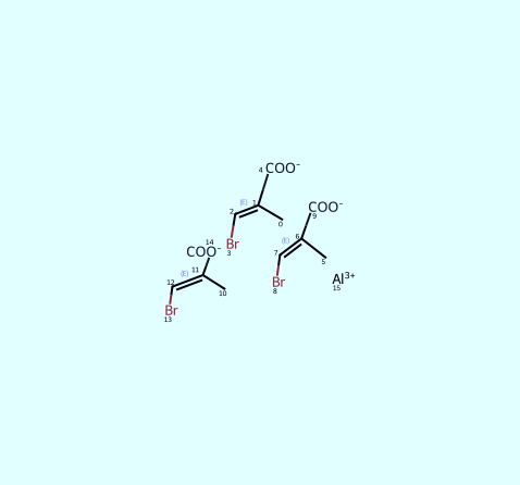 C/C(=C\Br)C(=O)[O-].C/C(=C\Br)C(=O)[O-].C/C(=C\Br)C(=O)[O-].[Al+3]